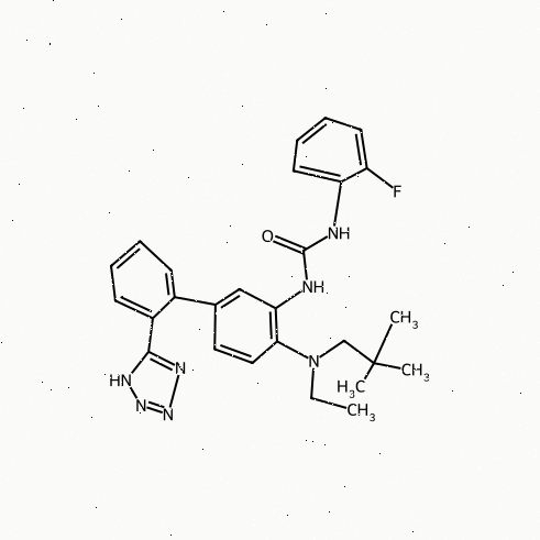 CCN(CC(C)(C)C)c1ccc(-c2ccccc2-c2nnn[nH]2)cc1NC(=O)Nc1ccccc1F